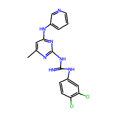 Cc1cc(Nc2cccnc2)nc(NC(=N)Nc2ccc(Cl)c(Cl)c2)n1